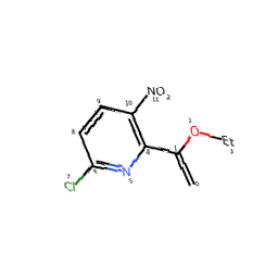 C=C(OCC)c1nc(Cl)ccc1[N+](=O)[O-]